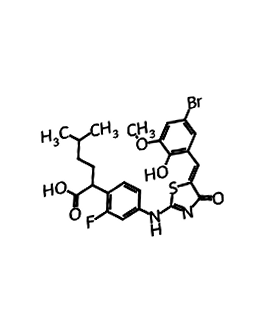 COc1cc(Br)cc(/C=C2\SC(Nc3ccc(C(CCC(C)C)C(=O)O)c(F)c3)=NC2=O)c1O